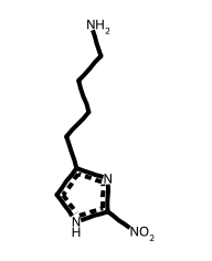 NCCCCc1c[nH]c([N+](=O)[O-])n1